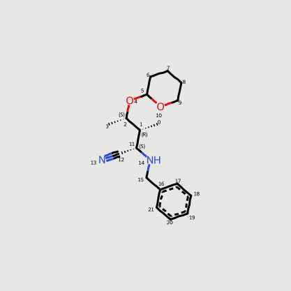 C[C@@H]([C@H](C)OC1CCCCO1)[C@@H](C#N)NCc1ccccc1